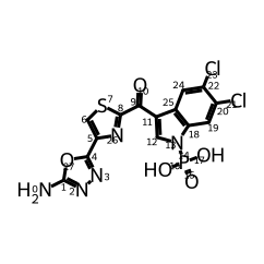 Nc1nnc(-c2csc(C(=O)c3cn(P(=O)(O)O)c4cc(Cl)c(Cl)cc34)n2)o1